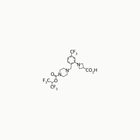 O=C(O)C1CN(c2cc(C(F)(F)F)ccc2CN2CCN(C(=O)OC(C(F)(F)F)C(F)(F)F)CC2)C1